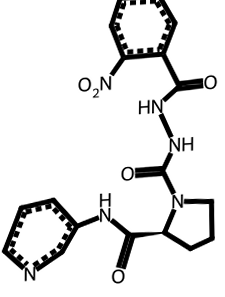 O=C(NNC(=O)N1CCC[C@H]1C(=O)Nc1cccnc1)c1ccccc1[N+](=O)[O-]